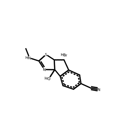 Br.CNC1=NC2(O)c3ccc(C#N)cc3CC2S1